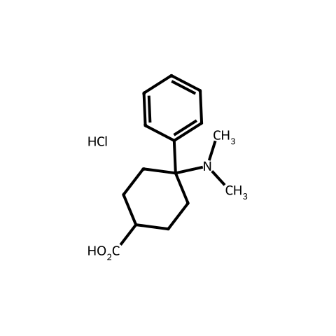 CN(C)C1(c2ccccc2)CCC(C(=O)O)CC1.Cl